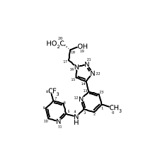 Cc1cc(Nc2cc(C(F)(F)F)ccn2)nc(-c2cn(C[C@@H](O)C(=O)O)nn2)c1